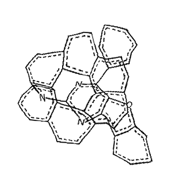 c1ccc(-c2nc(-n3c4ccc5ccc6ccc7ccc8ccc9ccc3c3c9c8c7c6c5c34)nc3c2oc2ccccc23)cc1